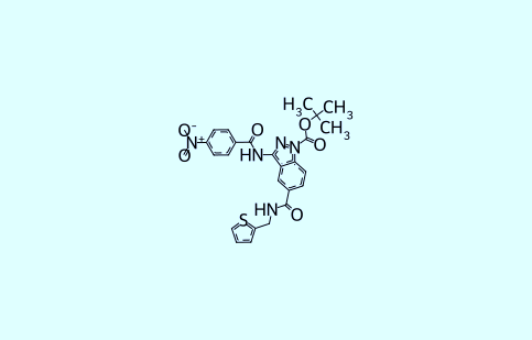 CC(C)(C)OC(=O)n1nc(NC(=O)c2ccc([N+](=O)[O-])cc2)c2cc(C(=O)NCc3cccs3)ccc21